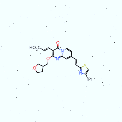 CC(C)c1csc(C=Cc2ccn3c(=O)c(C=CC(=O)O)c(OCC4CCOC4)nc3c2)n1